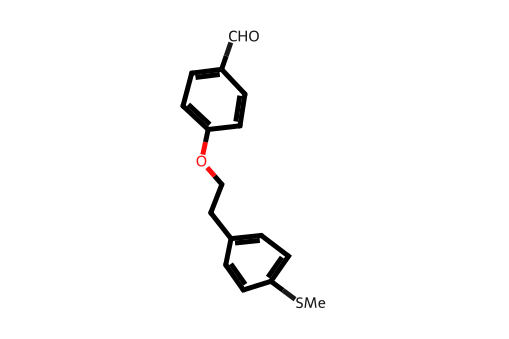 CSc1ccc(CCOc2ccc(C=O)cc2)cc1